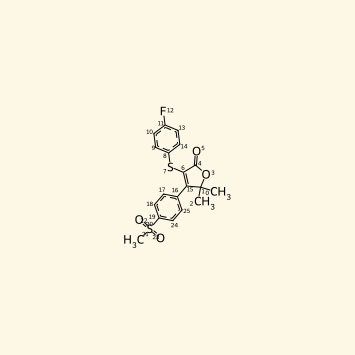 CC1(C)OC(=O)C(Sc2ccc(F)cc2)=C1c1ccc(S(C)(=O)=O)cc1